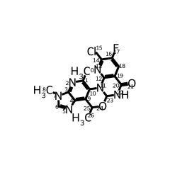 Cc1nc2c(ncn2C)c2c1N1c3nc(Cl)c(F)cc3C(=O)NC1OC2C